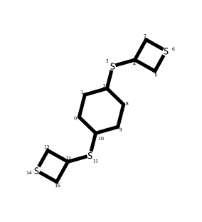 C1CC(SC2CSC2)CCC1SC1CSC1